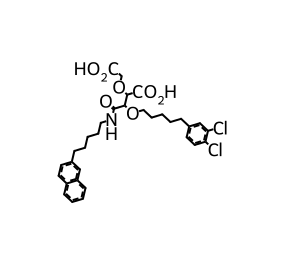 O=C(O)COC(C(=O)O)C(OCCCCCc1ccc(Cl)c(Cl)c1)C(=O)NCCCCCc1ccc2ccccc2c1